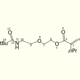 C=C(CCC)C(=O)OCCOCCNC(=O)C(C)(C)C